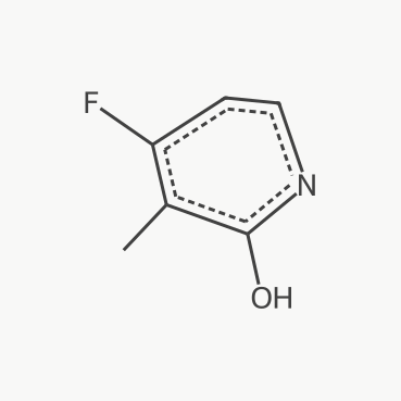 Cc1c(F)ccnc1O